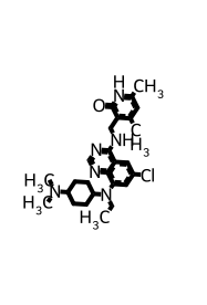 CCN(c1cc(Cl)cc2c(NCc3c(C)cc(C)[nH]c3=O)ncnc12)C1CCC(N(C)C)CC1